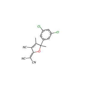 CC1=C(C#N)C(=C(C#N)C#N)OC1(C)c1cc(Cl)cc(Cl)c1